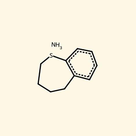 N.c1ccc2c(c1)CCCCS2